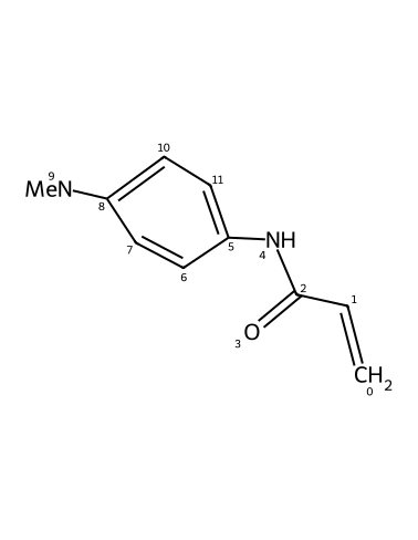 C=CC(=O)Nc1ccc(NC)cc1